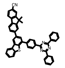 CC1(C)c2cc(C#N)ccc2-c2ccc(-c3cc(-c4ccc(-c5nc(-c6ccccc6)nc(-c6ccccc6)n5)cc4)c4sc5ccccc5c4c3)cc21